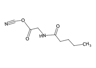 CCCCC(=O)NCC(=O)OC#N